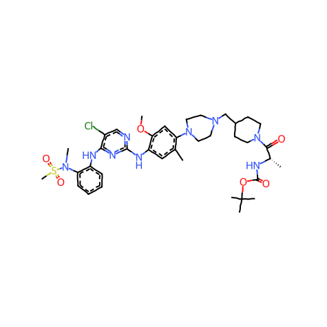 COc1cc(N2CCN(CC3CCN(C(=O)[C@H](C)NC(=O)OC(C)(C)C)CC3)CC2)c(C)cc1Nc1ncc(Cl)c(Nc2ccccc2N(C)S(C)(=O)=O)n1